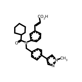 Cn1cc(-c2ccc(CN(C(=O)C3CCCCC3)c3cccc(C=CC(=O)O)c3)cc2)cn1